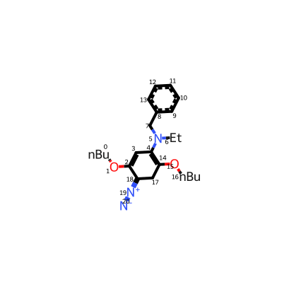 CCCCOC1=CC(N(CC)Cc2ccccc2)=C(OCCCC)CC1=[N+]=[N-]